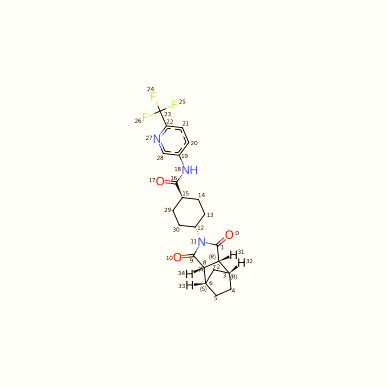 O=C1[C@@H]2[C@@H]3CC[C@@H](C3)[C@@H]2C(=O)N1[C@H]1CC[C@H](C(=O)Nc2ccc(C(F)(F)F)nc2)CC1